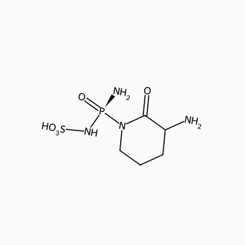 NC1CCCN([P@@](N)(=O)NS(=O)(=O)O)C1=O